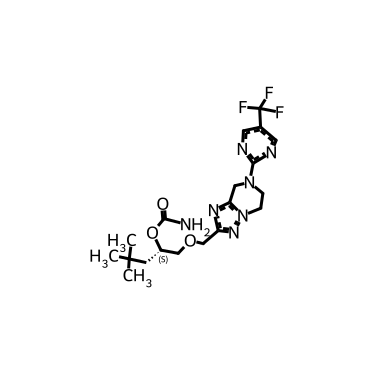 CC(C)(C)C[C@@H](COCc1nc2n(n1)CCN(c1ncc(C(F)(F)F)cn1)C2)OC(N)=O